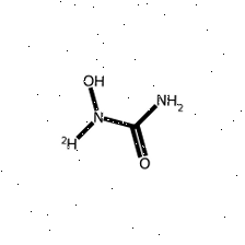 [2H]N(O)C(N)=O